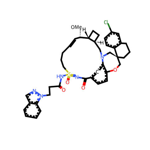 CO[C@H]1/C=C/CCCS(=O)(NC(=O)CCn2ncc3ccccc32)=NC(=O)c2ccc3c(c2)N(C[C@@H]2CC[C@H]21)C[C@@]1(CCCc2cc(Cl)ccc21)CO3